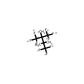 CC(C)(C(F)(F)F)C(C)(C(F)(F)F)C(F)(F)F